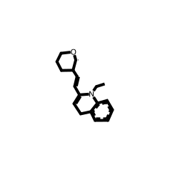 CCN1C(C=CC2[CH]OCCC2)=CCc2ccccc21